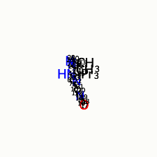 Cc1c(-c2[nH]c3ccc(C4CCC(N5CC6(COC6)C5)CC4)nc3c2C(C)C)cn2nccc2c1C